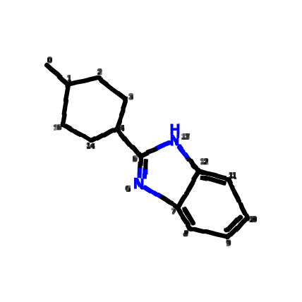 CC1CCC(c2nc3ccccc3[nH]2)CC1